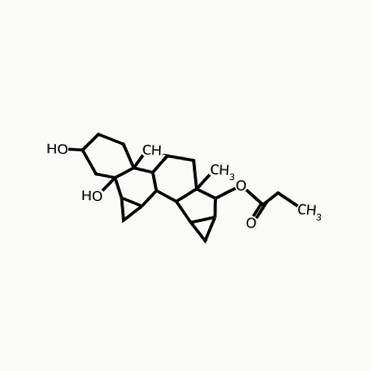 CCC(=O)OC1C2CC2C2C3C4CC4C4(O)CC(O)CCC4(C)C3CCC12C